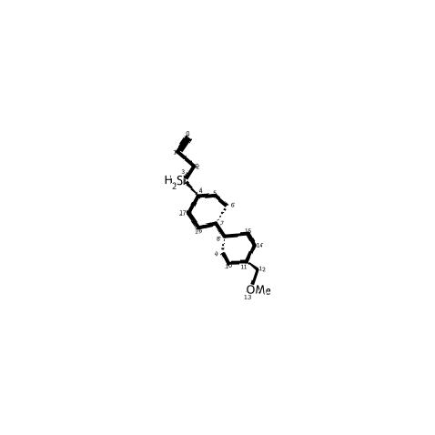 C=CC[SiH2][C@H]1CC[C@H]([C@H]2CC[C@H](COC)CC2)CC1